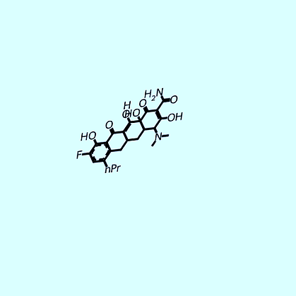 CCCc1cc(F)c(O)c2c1CC1CC3C(N(C)C)C(O)=C(C(N)=O)C(=O)C3(O)C(O)=C1C2=O